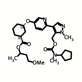 COCCC(C)OC(=O)[C@H]1CCC[C@H](Oc2ccc(-c3cnn(C)c3COC(=O)N(C)C3CCCC3)nc2)C1